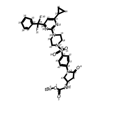 CC(C)(C)OC(=O)NC1CC(=O)N(c2ccc(S(=O)(=O)N3CCN(c4nc(C5CC5)cc(C(F)(F)c5ccccc5)n4)CC3)cc2)C1